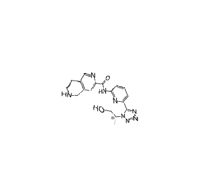 C[C@H](CO)n1nnnc1-c1cccc(NC(=O)c2cc3c(cn2)CCNC3)n1